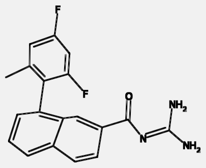 Cc1cc(F)cc(F)c1-c1cccc2ccc(C(=O)N=C(N)N)cc12